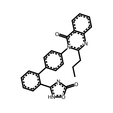 CCCc1nc2ccccc2c(=O)n1-c1ccc(-c2ccccc2-c2nc(=O)o[nH]2)cc1